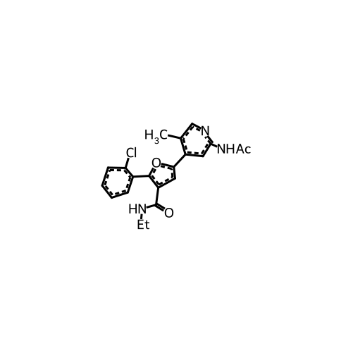 CCNC(=O)c1cc(-c2cc(NC(C)=O)ncc2C)oc1-c1ccccc1Cl